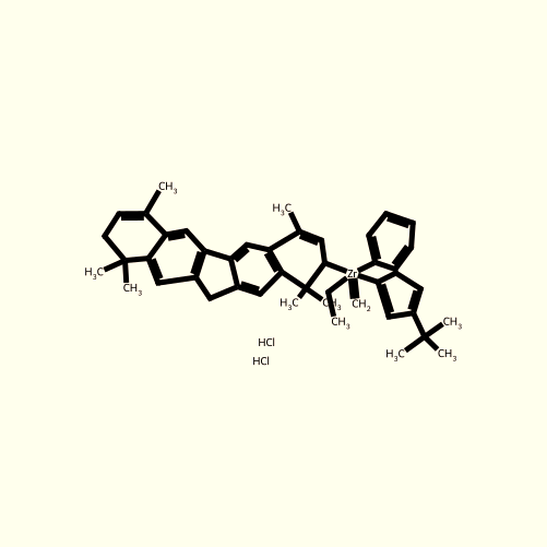 Cl.Cl.[CH2]=[Zr]([CH2]C)([C]1=CC(C(C)(C)C)=CC1)([c]1ccccc1)[CH]1C=C(C)c2cc3c(cc2C1(C)C)Cc1cc2c(cc1-3)C(C)=CCC2(C)C